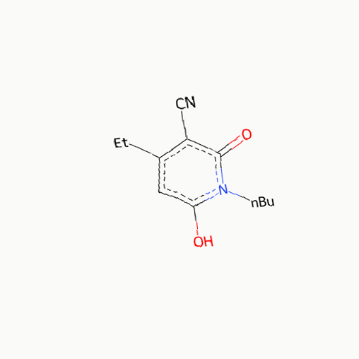 CCCCn1c(O)cc(CC)c(C#N)c1=O